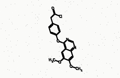 COc1cc2ncnc(Oc3ccc(CC(=O)Cl)cc3)c2cc1OC